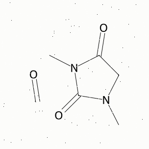 C=O.CN1CC(=O)N(C)C1=O